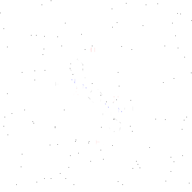 CN(C(=O)N(C)c1ccc(N(C)C(=O)N(C)c2ccc(CO)cc2)cc1)c1ccc(CO)cc1